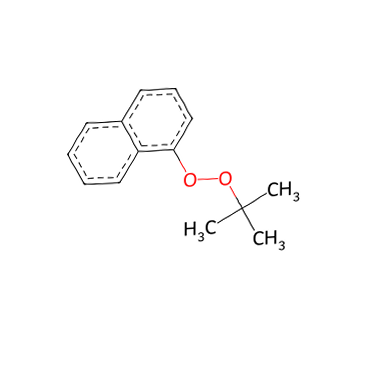 CC(C)(C)OOc1cccc2ccccc12